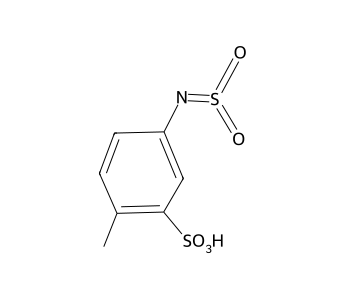 Cc1ccc(N=S(=O)=O)cc1S(=O)(=O)O